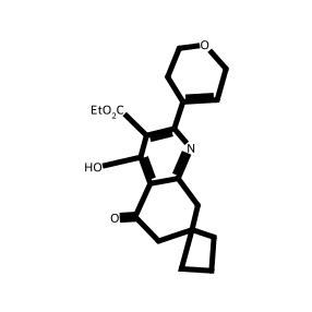 CCOC(=O)c1c(C2=CCOCC2)nc2c(c1O)C(=O)CC1(CCC1)C2